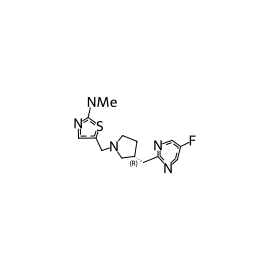 CNc1ncc(CN2CC[C@H](Cc3ncc(F)cn3)C2)s1